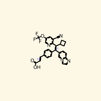 N#Cc1cc(OC(F)(F)F)cnc1/C(=C(\c1ccc(/C=C/C(=O)O)cc1)c1ccc2nccn2c1)C1CCC1